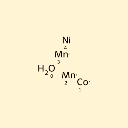 O.[Co].[Mn].[Mn].[Ni]